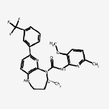 COc1ccc(C)nc1NC(=O)N1c2nc(-c3cccc(C(F)(F)F)c3)ccc2NCC[C@H]1C